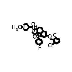 CN1CCC(C(=O)N2CC[C@@]3(S(=O)(=O)c4ccc(F)cc4)c4ccc(OCc5c(Cl)cccc5Cl)cc4CC[C@@H]23)CC1